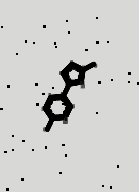 Cc1ccc(-c2ccc(C)o2)cn1